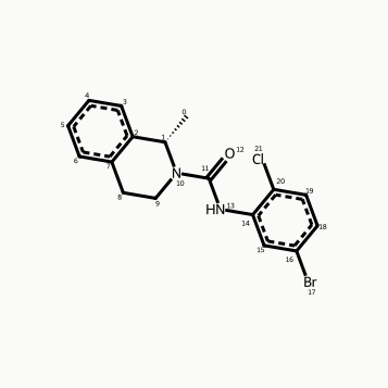 C[C@H]1c2ccccc2CCN1C(=O)Nc1cc(Br)ccc1Cl